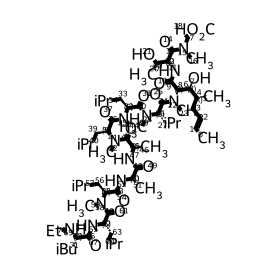 CC=CC[C@@H](C)[C@@H](O)[C@@H](C(=O)N[C@H](C(=O)N(C)CC(=O)O)[C@@H](C)O)N(C)C(=O)[C@H](C(C)C)N(C)C(=O)[C@H](CC(C)C)NC(=O)[C@H](CC(C)C)N(C)C(=O)[C@@H](C)NC(=O)[C@H](C)NC(=O)[C@H](CC(C)C)N(C)C(=O)[C@H](CC(C)C)NC(=O)[C@@H](NCC)C(C)CC